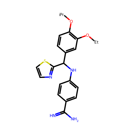 CCOc1cc(C(Nc2ccc(C(=N)N)cc2)c2nccs2)ccc1OC(C)C